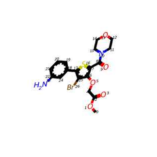 COC(=O)COc1c(C(=O)N2CCOCC2)sc(-c2cccc(N)c2)c1Br